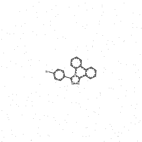 Brc1ccc(-c2nnc3c4ccccc4c4ccccc4n23)cc1